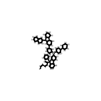 C=C(/C=C\C=C/C)C1(c2ccccc2)c2ccccc2-c2ccc(N(c3ccc(-c4ccccc4)cc3)c3cccc(-c4ccc5c(c4)C(c4ccc6ccccc6c4)c4ccccc4-5)c3)cc21